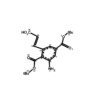 CC(C)(C)OC(=O)c1cc(N)c(C(=O)OC(C)(C)C)c(C=CC(=O)O)c1